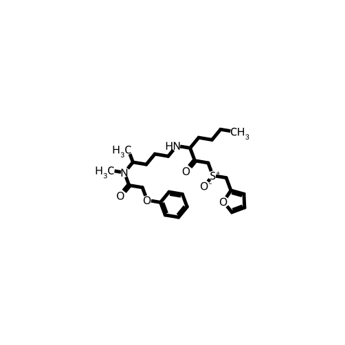 CCCCC(NCCCC(C)N(C)C(=O)COc1ccccc1)C(=O)C[S+]([O-])Cc1ccco1